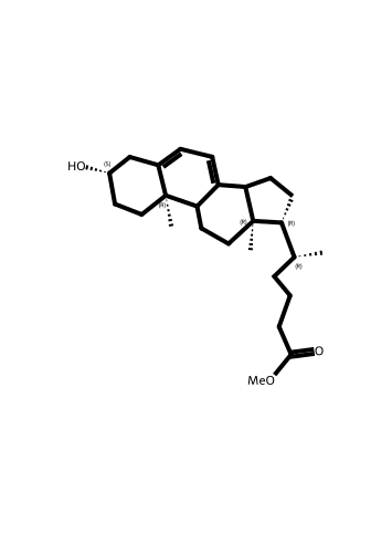 COC(=O)CCC[C@@H](C)[C@H]1CCC2C3=CC=C4C[C@@H](O)CC[C@]4(C)C3CC[C@@]21C